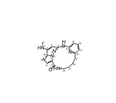 CNc1cc2nn3c(cnc13)C(=O)NCCCCc1cccc(n1)N2